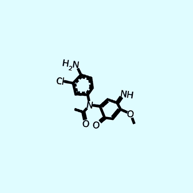 COC1=CC(=O)C(N(C(C)=O)c2ccc(N)c(Cl)c2)=CC1=N